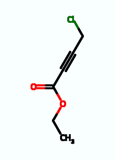 CCOC(=O)C#CCCl